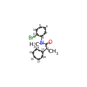 CC(C(=O)N(C)c1ccccc1Br)c1ccccc1